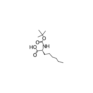 CCCCCC[C@H](NC(=O)OC(C)(C)C)C(=O)O